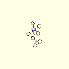 c1ccc(-c2nn3c(-c4ccccc4)c(-c4cccc(-n5c6ccccc6c6ccccc65)c4)c4ccccc4c3c2-c2ccccc2)cc1